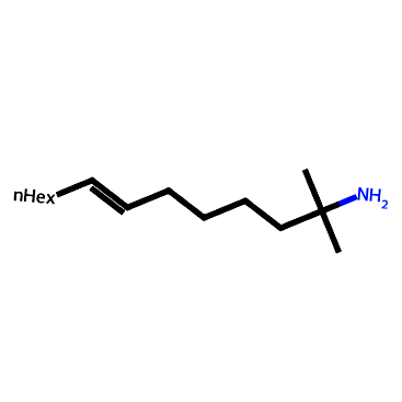 CCCCCCC=CCCCCC(C)(C)N